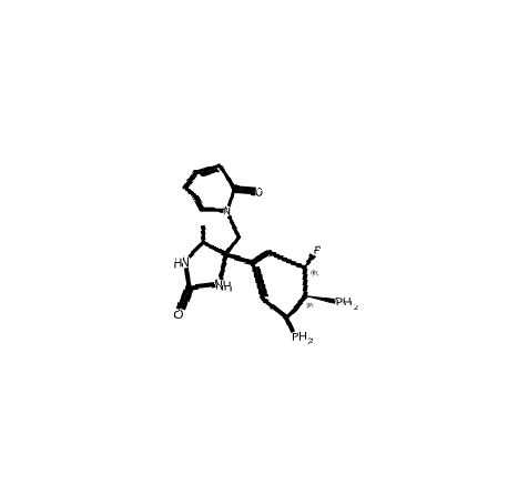 CC1NC(=O)NC1(CN1CCC=CC1=O)C1=CC(P)[C@H](P)[C@H](F)C1